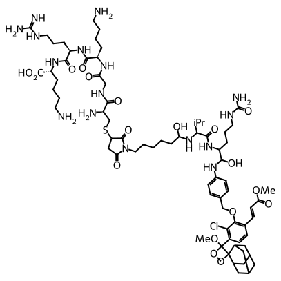 COC(=O)/C=C/c1ccc(C2(OC)OOC23C2CC4CC(C2)CC3C4)c(Cl)c1OCc1ccc(NC(O)C(CCCNC(N)=O)NC(=O)C(NC(O)CCCCCN2C(=O)CC(SC[C@@H](N)C(=O)NCC(=O)N[C@H](CCCCN)C(=O)N[C@H](CCCNC(=N)N)C(=O)N[C@H](CCCCN)C(=O)O)C2=O)C(C)C)cc1